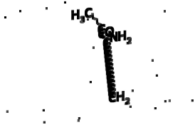 C=C=C=C=C=C=C=C=C=C=C=C=C=C=C(C=C=C=CCCCCC)C(N)=O